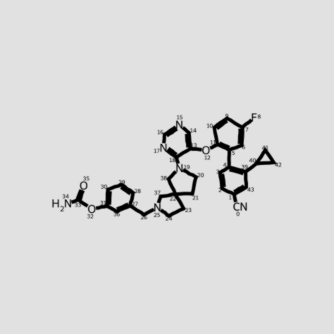 N#Cc1ccc(-c2cc(F)ccc2Oc2cncnc2N2CCC3(CCN(Cc4cccc(OC(N)=O)c4)C3)C2)c(C2CC2)c1